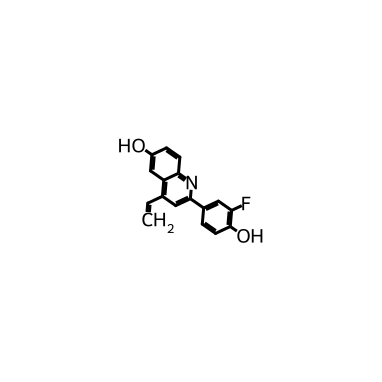 C=Cc1cc(-c2ccc(O)c(F)c2)nc2ccc(O)cc12